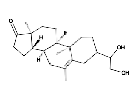 CC1=C2CC(C(O)CO)CC[C@]2(C)[C@@H]2CC[C@]3(C)C(=O)CC[C@H]3[C@@H]2C1